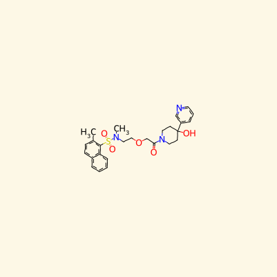 Cc1ccc2ccccc2c1S(=O)(=O)N(C)CCOCC(=O)N1CCC(O)(c2cccnc2)CC1